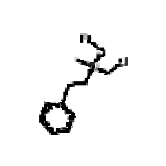 CCO[Si](C)(CCl)CCc1ccccc1